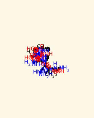 CC[C@H](C)[C@H](NC(=O)[C@H](CCCNC(=N)N)NC(=O)[C@H](Cc1ccc(O)cc1)NC(=O)[C@H](CCCNC(=N)N)NC(=O)[C@H](CO)NC(=O)[C@H](Cc1ccc(O)cc1)NC(=O)[C@H](C)NC(=O)[C@H](C)NC(=O)[C@H](Cc1ccccc1)NC(=O)CNC(=O)[C@H](CO)NC(=O)[C@@H](N)CC(=O)O)C(=O)NCC(=O)N[C@@H](CC(N)=O)C(=O)O